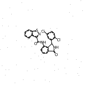 O=C1NC(c2cc(Cl)ccc2Cl)c2c(NC(=O)c3nsc4ccccc34)cccc21